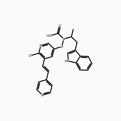 CC(Cc1c[nH]c2ccccc12)N(Oc1cnc(Cl)c(C=Cc2ccncc2)c1)C(=O)O